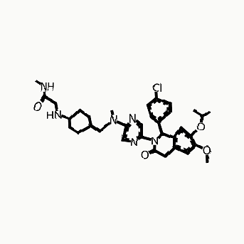 CNC(=O)CNC1CCC(CN(C)c2cnc(N3C(=O)Cc4cc(OC)c(OC(C)C)cc4C3c3ccc(Cl)cc3)cn2)CC1